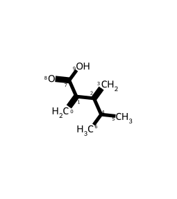 C=C(C(=C)C(C)C)C(=O)O